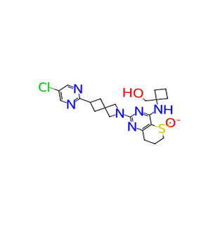 [O-][S@@+]1CCCc2nc(N3CC4(CC(c5ncc(Cl)cn5)C4)C3)nc(NC3(CO)CCC3)c21